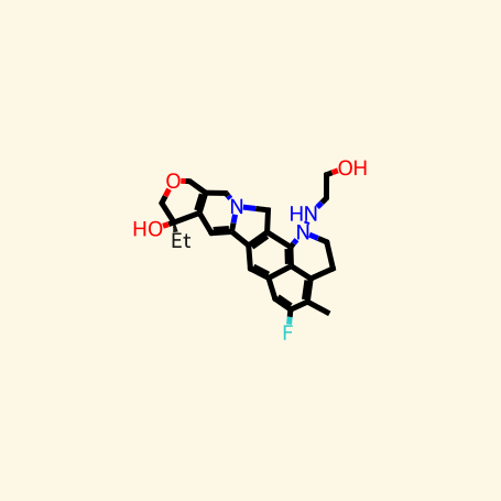 CC[C@@]1(O)COCC2=C1C=C1c3cc4cc(F)c(C)c5c4c(c3CN1C2)N(NCCO)CC5